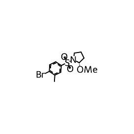 CO[C@H]1CCCN1S(=O)(=O)c1ccc(Br)c(C)c1